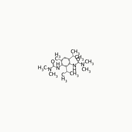 Cc1cc(C(C)C)c(NC(=O)N(C)C)c(C(C)C)c1NC(=O)N(C)C